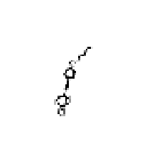 CCCCCOc1ccc(C#Cc2cnc(Cl)cn2)cc1